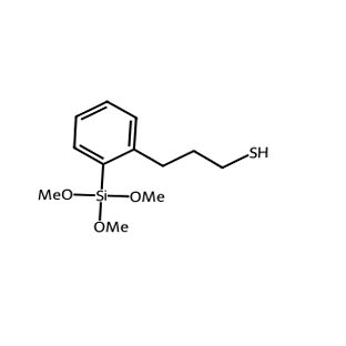 CO[Si](OC)(OC)c1ccccc1CCCS